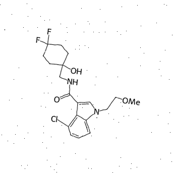 COCCn1cc(C(=O)NCC2(O)CCC(F)(F)CC2)c2c(Cl)cccc21